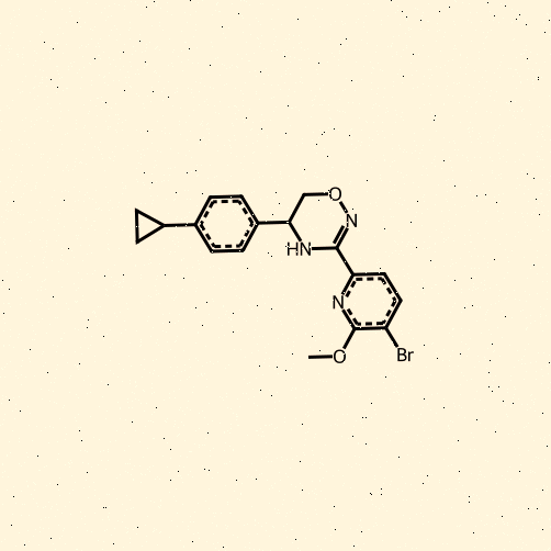 COc1nc(C2=NOCC(c3ccc(C4CC4)cc3)N2)ccc1Br